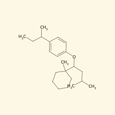 CCC(C)c1ccc(OC(CC(C)C)C2(C)CCCCC2)cc1